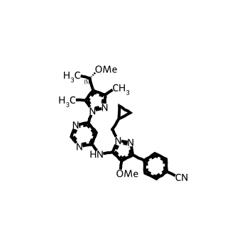 COc1c(-c2ccc(C#N)cc2)nn(CC2CC2)c1Nc1cc(-n2nc(C)c([C@H](C)OC)c2C)ncn1